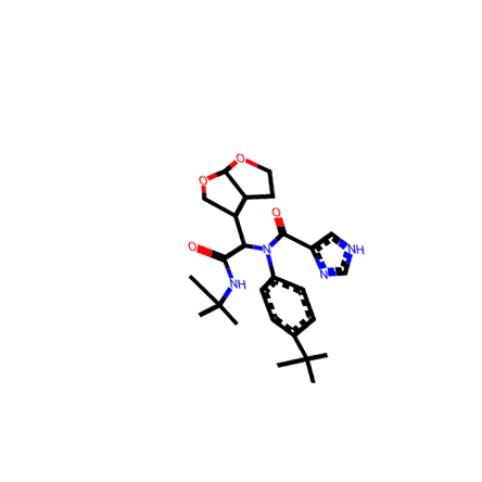 CC(C)(C)NC(=O)C(C1COC2OCCC21)N(C(=O)c1c[nH]cn1)c1ccc(C(C)(C)C)cc1